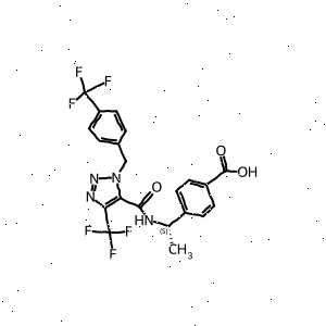 C[C@H](NC(=O)c1c(C(F)(F)F)nnn1Cc1ccc(C(F)(F)F)cc1)c1ccc(C(=O)O)cc1